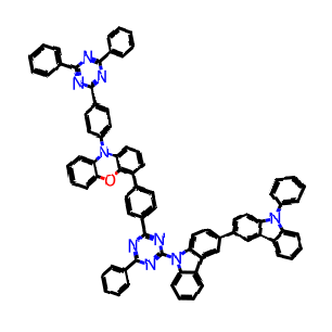 c1ccc(-c2nc(-c3ccccc3)nc(-c3ccc(N4c5ccccc5Oc5c(-c6ccc(-c7nc(-c8ccccc8)nc(-n8c9ccccc9c9cc(-c%10ccc%11c(c%10)c%10ccccc%10n%11-c%10ccccc%10)ccc98)n7)cc6)cccc54)cc3)n2)cc1